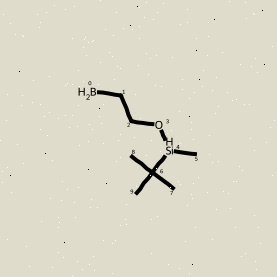 BCCO[SiH](C)C(C)(C)C